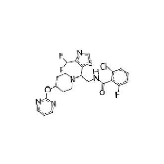 O=C(NCC(c1scnc1C(F)F)N1CCC(Oc2ncccn2)CC1)c1c(F)cccc1Cl